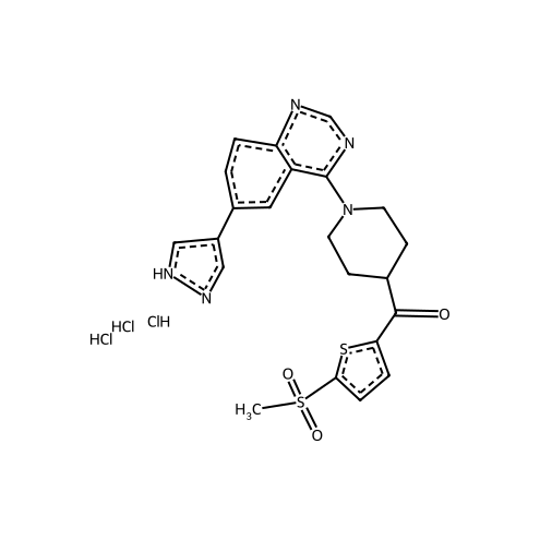 CS(=O)(=O)c1ccc(C(=O)C2CCN(c3ncnc4ccc(-c5cn[nH]c5)cc34)CC2)s1.Cl.Cl.Cl